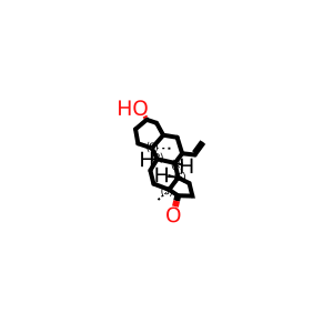 C=CC1CC2CC(O)CC[C@]2(C)[C@@H]2CC[C@]3(C)C(=O)CC[C@H]3[C@H]12